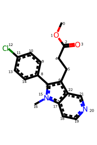 COC(=O)CCc1c(-c2ccc(Cl)cc2)n(C)c2ccncc12